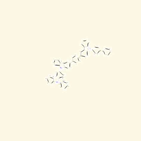 c1ccc(-c2ccc(-n3c4ccccc4c4cc(-c5ccc(-c6ccc7c(c6)c6ccccc6n7-c6cc7c8ccccc8n8c9ccccc9c(c6)c78)cc5)ccc43)cc2)cc1